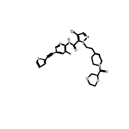 O=C(Nc1ncc(C#Cc2cccs2)cc1F)c1c(Cl)cnn1CCC1CCN(C(=O)C2COCCO2)CC1